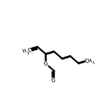 C=CC(CCCCC)O[C]=O